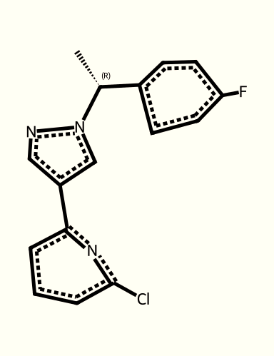 C[C@H](c1ccc(F)cc1)n1cc(-c2cccc(Cl)n2)cn1